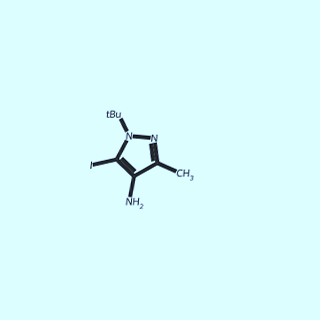 Cc1nn(C(C)(C)C)c(I)c1N